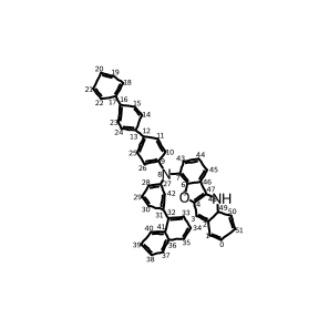 C1=CC2=Cc3oc4c(N(c5ccc(-c6ccc(-c7ccccc7)cc6)cc5)c5cccc(-c6cccc7ccccc67)c5)cccc4c3NC2C=C1